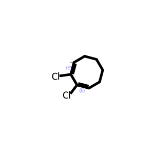 ClC1=[C]/CCCC/C=C\1Cl